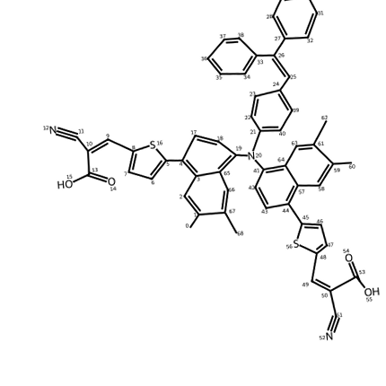 Cc1cc2c(-c3ccc(/C=C(/C#N)C(=O)O)s3)ccc(N(c3ccc(C=C(c4ccccc4)c4ccccc4)cc3)c3ccc(-c4ccc(/C=C(/C#N)C(=O)O)s4)c4cc(C)c(C)cc34)c2cc1C